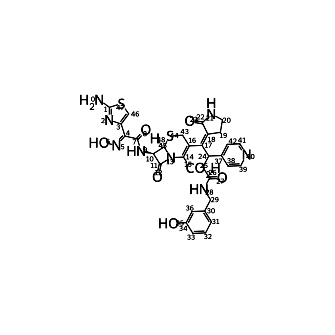 Nc1nc(C(=NO)C(=O)N[C@@H]2C(=O)N3C(C(=O)O)=C(C(=C4CCNC4=O)C(CC(=O)NCc4cccc(O)c4)c4ccncc4)CS[C@H]23)cs1